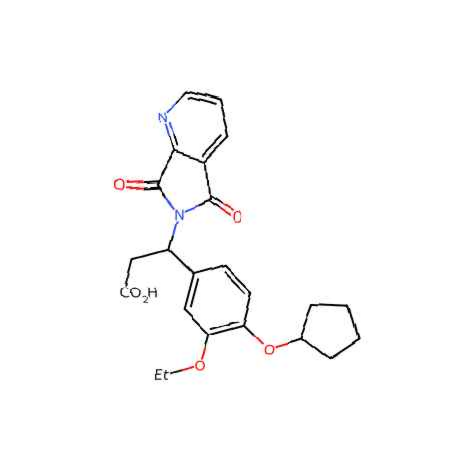 CCOc1cc(C(CC(=O)O)N2C(=O)c3cccnc3C2=O)ccc1OC1CCCC1